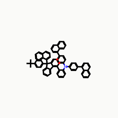 CC(C)(C)c1ccc(C2(c3cccc4ccccc34)c3ccccc3-c3c(-c4ccccc4N(c4ccc(-c5cccc6ccccc56)cc4)c4ccc(-c5cccc6ccccc56)cc4)cccc32)cc1